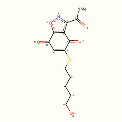 CNC(=O)c1noc2c1C(=O)C(SCCCCCO)=CC2=O